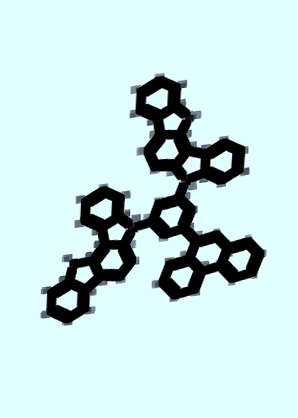 c1ccc2c(c1)cc(-c1cc(-n3c4ccccc4c4c5sc6ccccc6c5ccc43)cc(-n3c4ccccc4c4c5sc6ccccc6c5ccc43)c1)c1ccccc12